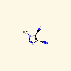 Cn1[c]nc(C#N)c1C#N